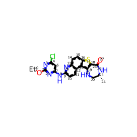 CCOc1nc(Cl)cc(Nc2ccc3c(ccc4sc5c(c43)NC[C@@H](C)NC5=O)n2)n1